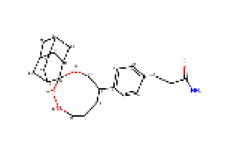 NC(=O)CCc1ccc(C2CCCOOC3(OC2)C2CC4CC(C2)CC3C4)cc1